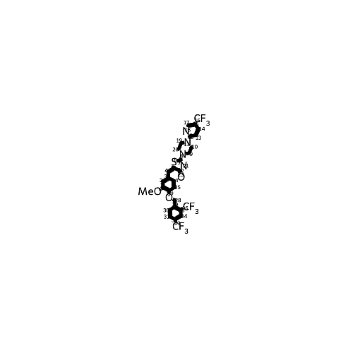 COc1cc(C=C2SC(N3CCN(c4ccc(C(F)(F)F)cn4)CC3)=NC2=O)ccc1OCc1ccc(C(F)(F)F)cc1C(F)(F)F